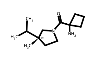 CC(C)[C@@]1(C)CCN(C(=O)C2(N)CCC2)C1